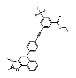 CCOC(=O)c1cc(C#Cc2ccc(-c3cc4c(=O)n(C)oc4c4ccccc34)cc2)cc(C(F)(F)F)c1